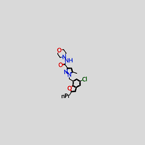 CCCc1cc2cc(Cl)cc(Cn3nc(C(=O)NN4CCOCC4)cc3C)c2o1